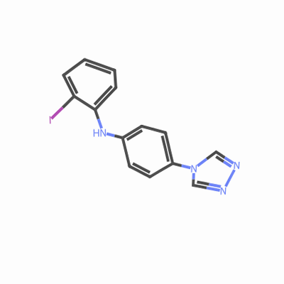 Ic1ccccc1Nc1ccc(-n2cnnc2)cc1